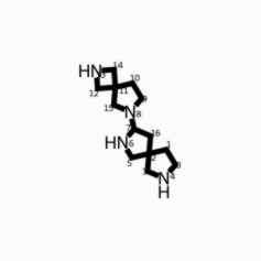 C1CC2(CN1)CNC(N1CCC3(CNC3)C1)C2